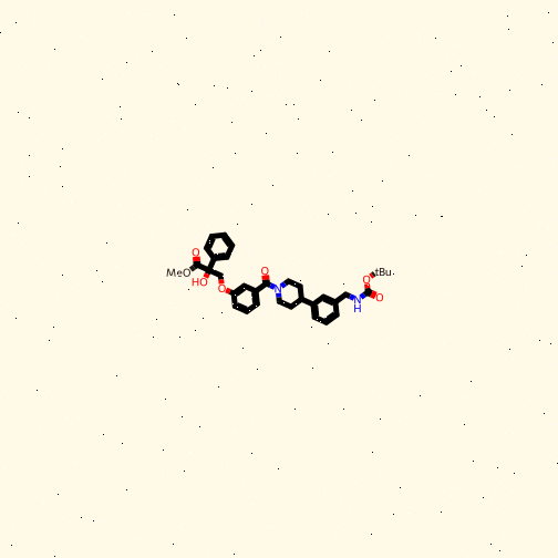 COC(=O)C(O)(COc1cccc(C(=O)N2CCC(c3cccc(CNC(=O)OC(C)(C)C)c3)CC2)c1)c1ccccc1